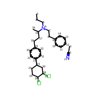 CC#N.CCCN(CCc1ccccc1)C(C)CCc1ccc(C2CCC(Cl)C(Cl)C2)cc1